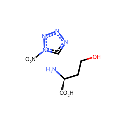 N[C@@H](CCO)C(=O)O.O=[N+]([O-])n1cnnn1